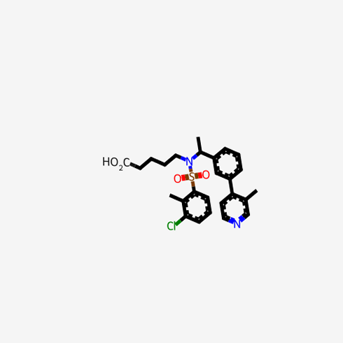 Cc1cnccc1-c1cccc(C(C)N(CCCCC(=O)O)S(=O)(=O)c2cccc(Cl)c2C)c1